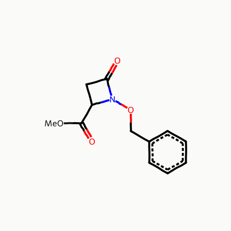 COC(=O)C1CC(=O)N1OCc1ccccc1